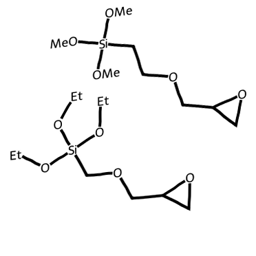 CCO[Si](COCC1CO1)(OCC)OCC.CO[Si](CCOCC1CO1)(OC)OC